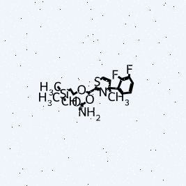 CC1(c2cccc(F)c2F)C=CSC(C(OCC[Si](C)(C)C)OC(N)=O)=N1